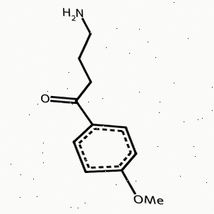 COc1ccc(C(=O)CCCN)cc1